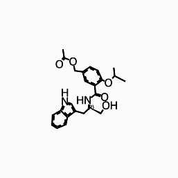 CC(=O)OCc1ccc(OC(C)C)c(C(=O)N[C@@H](CO)Cc2c[nH]c3ccccc23)c1